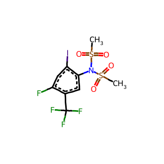 CS(=O)(=O)N(c1cc(C(F)(F)F)c(F)cc1I)S(C)(=O)=O